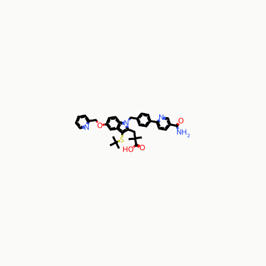 CC(C)(C)Sc1c(CC(C)(C)C(=O)O)n(Cc2ccc(-c3ccc(C(N)=O)cn3)cc2)c2ccc(OCc3ccccn3)cc12